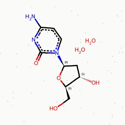 Nc1ccn([C@H]2C[C@H](O)[C@@H](CO)O2)c(=O)n1.O.O